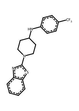 FC(F)(F)c1ccc(NC2CCN(c3nc4ccccc4s3)CC2)cc1